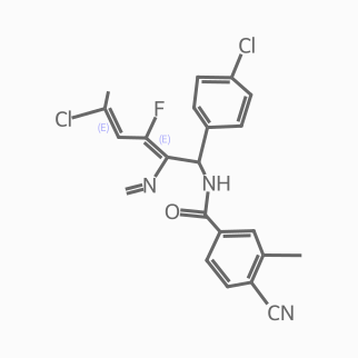 C=N/C(=C(F)\C=C(/C)Cl)C(NC(=O)c1ccc(C#N)c(C)c1)c1ccc(Cl)cc1